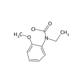 CCN(C(=O)Cl)c1ccccc1OC